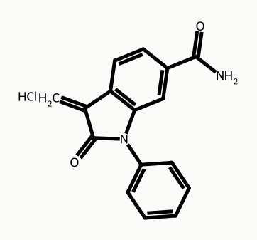 C=C1C(=O)N(c2ccccc2)c2cc(C(N)=O)ccc21.Cl